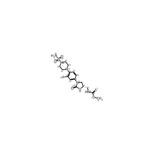 COC(=S)NC[C@H]1CN(c2ccc(N3CCN(S(N)(=O)=O)CC3)c(F)c2)C(=O)O1